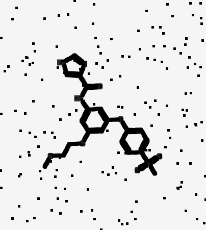 COCCOc1cc(NC(=O)c2c[nH]cn2)cc(Oc2ccc(S(C)(=O)=O)cc2)c1